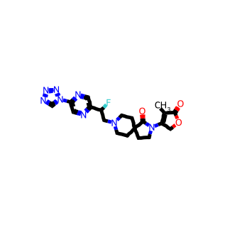 CC1=C(N2CCC3(CCN(CC(F)c4cnc(-n5cnnn5)cn4)CC3)C2=O)COC1=O